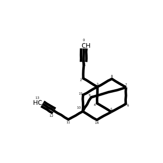 C#CCC12CC3CC(C1)CC(CC#C)(C3)C2